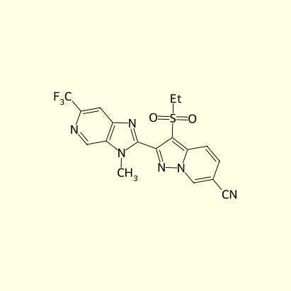 CCS(=O)(=O)c1c(-c2nc3cc(C(F)(F)F)ncc3n2C)nn2cc(C#N)ccc12